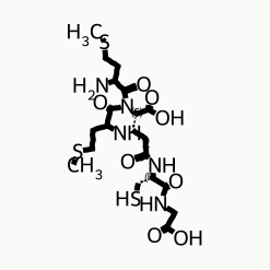 CSCCC(N)C(=O)N(C(=O)C(N)CCSC)[C@@H](CCC(=O)N[C@@H](CS)C(=O)NCC(=O)O)C(=O)O